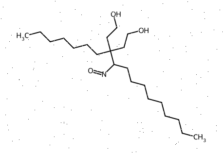 CCCCCCCCCC(N=O)C(CCO)(CCO)CCCCCCC